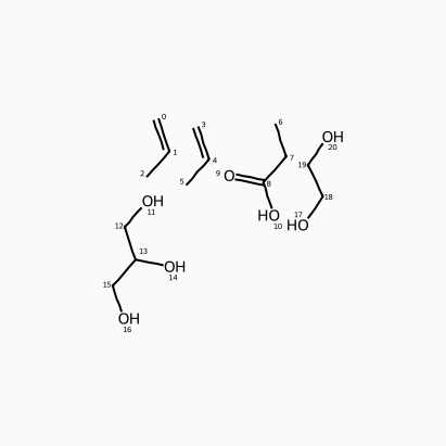 C=CC.C=CC.CCC(=O)O.OCC(O)CO.OCCO